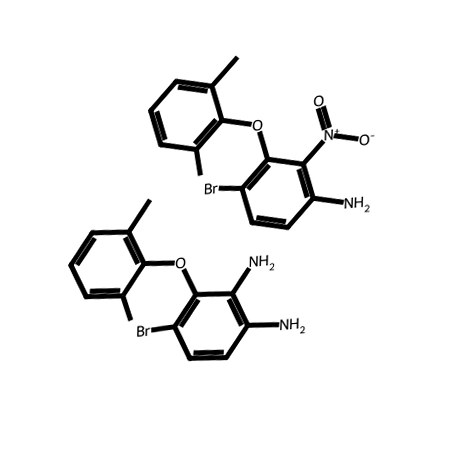 Cc1cccc(C)c1Oc1c(Br)ccc(N)c1N.Cc1cccc(C)c1Oc1c(Br)ccc(N)c1[N+](=O)[O-]